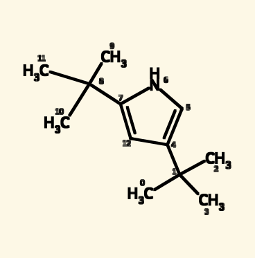 CC(C)(C)c1c[nH]c(C(C)(C)C)c1